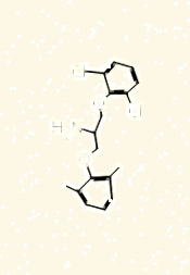 Cc1cccc(C)c1OCC(N)COc1c(Cl)cccc1Cl